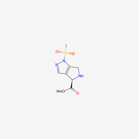 COC(=O)[C@@H]1NCc2c1cnn2S(C)(=O)=O